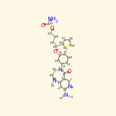 CN(C)c1cc2c(cn1)C(=O)N(c1cccc(OC(CCCOC(N)=O)c3cccs3)c1)CCN2C